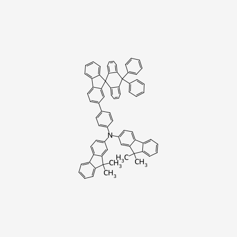 CC1(C)c2ccccc2-c2ccc(N(c3ccc(-c4ccc5c(c4)C4(c6ccccc6-5)c5ccccc5C(c5ccccc5)(c5ccccc5)c5ccccc54)cc3)c3ccc4c(c3)C(C)(C)c3ccccc3-4)cc21